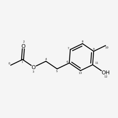 CC(=O)OCCc1ccc(C)c(O)c1